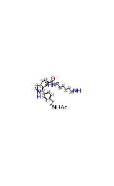 CC(=O)NCCc1ccc(C2=C3C(C=NN2)C2CC(C(=O)NCCCCCC=N)C3C2)cc1